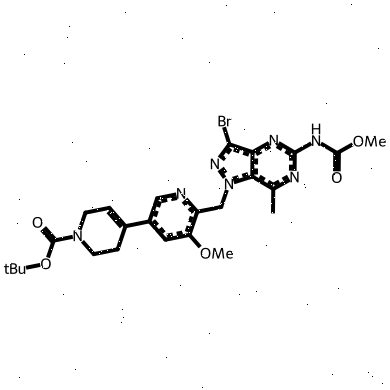 COC(=O)Nc1nc(C)c2c(n1)c(Br)nn2Cc1ncc(C2=CCN(C(=O)OC(C)(C)C)CC2)cc1OC